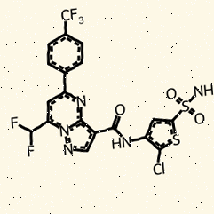 NS(=O)(=O)c1cc(NC(=O)c2cnn3c(C(F)F)cc(-c4ccc(C(F)(F)F)cc4)nc23)c(Cl)s1